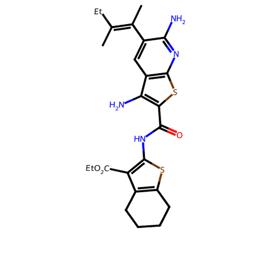 CCOC(=O)c1c(NC(=O)c2sc3nc(N)c(/C(C)=C(\C)CC)cc3c2N)sc2c1CCCC2